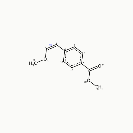 CO/C=C\c1ccc(C(=O)OC)cc1